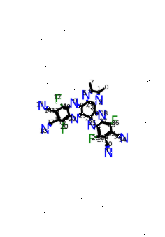 Cc1nc2c(nc1C)c1nc3c(F)c(C#N)c(C#N)c(F)c3nc1c1nc3c(F)c(C#N)c(C#N)c(F)c3nc21